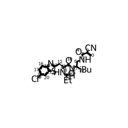 C=C(C#N)C(=O)NCC(NC(=O)[C@H](Cc1nc2ccc(Cl)cc2s1)NC(=O)CC)C(C)CC